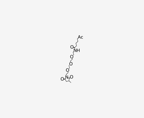 CC(=O)CCCCC(=O)NCCOCCOCCOCCN1C(=O)CC(C)C1=O